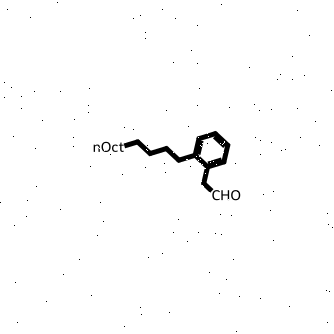 CCCCCCCCCCCCc1ccccc1CC=O